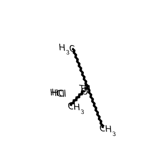 CCCCCCCCCCCCCCCCCC[N](CCCCCCCCCCCCCCCCCC)[Ti][O]CCCCCCCCCC.Cl.Cl